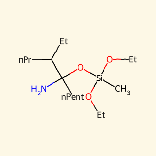 CCCCCC(N)(O[Si](C)(OCC)OCC)C(CC)CCC